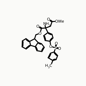 COC(=O)CC(N)(C(=O)OCC1c2ccccc2-c2ccccc21)c1ccc(OS(=O)(=O)c2ccc(C)cc2)cc1